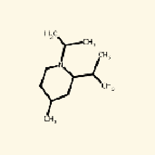 CC1CCN(C(C)C)C(C(C)C)C1